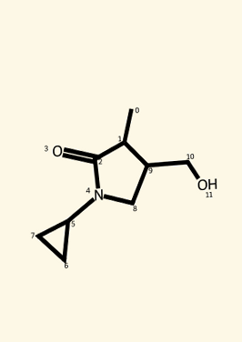 CC1C(=O)N(C2CC2)CC1CO